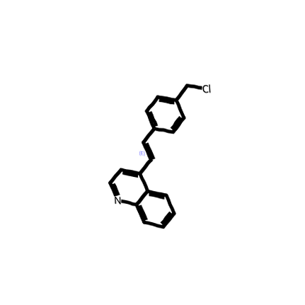 ClCc1ccc(/C=C/c2ccnc3ccccc23)cc1